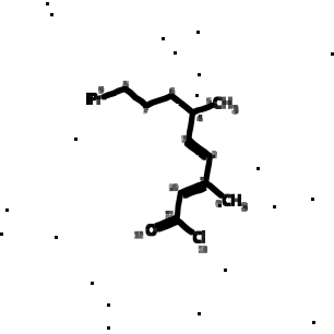 CC(C=CC(C)CCCC(C)C)=CC(=O)Cl